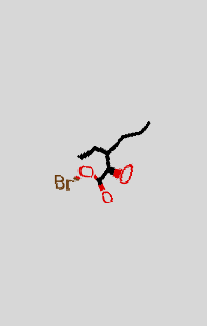 CCCC(CC)C(=O)C(=O)OBr